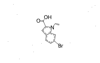 C=Cn1c(C(=O)O)cc2ccc(Br)cc21